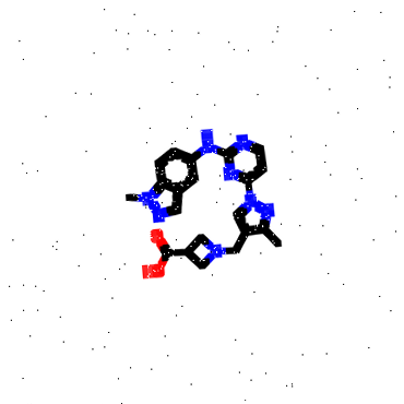 Cc1nn(-c2ccnc(Nc3ccc4c(cnn4C)c3)n2)cc1CN1CC(C(=O)O)C1